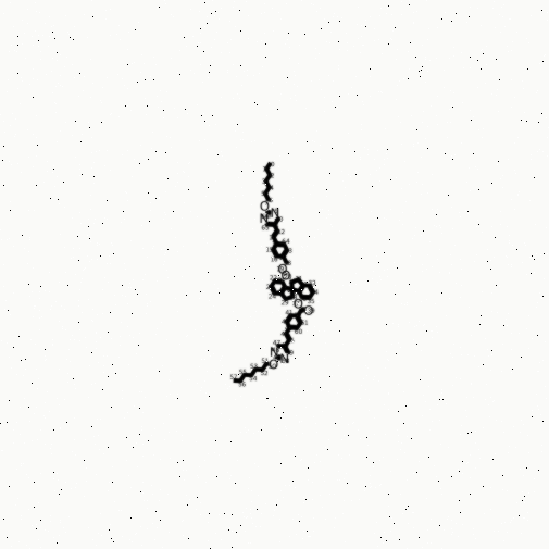 CCCCCCCOc1ncc(/C=C/c2ccc(COOc3cccc4c3C3(CC4)CCc4cccc(OC(=O)c5ccc(/C=C/c6cnc(OCCCCCCC)nc6)cc5)c43)cc2)cn1